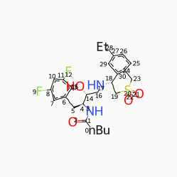 CCCCC(=O)N[C@@H](Cc1cc(F)cc(F)c1)[C@H](O)CN[C@H]1CS(=O)(=O)Cc2ccc(CC)cc21